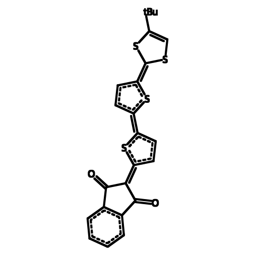 CC(C)(C)C1=CS/C(=c2/cc/c(=c3/ccc(=C4C(=O)c5ccccc5C4=O)s3)s2)S1